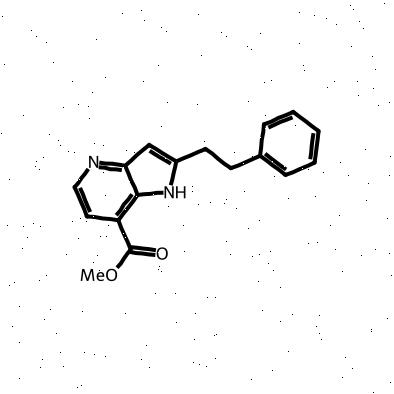 COC(=O)c1ccnc2cc(CCc3ccccc3)[nH]c12